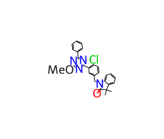 COc1nc(-c2ccccc2)nc(-c2cc(CN3C(=O)C(C)(C)c4ccccc43)ccc2Cl)n1